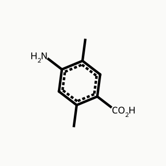 Cc1cc(C(=O)O)c(C)cc1N